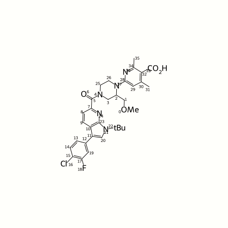 COCC1CN(C(=O)c2ccc3c(-c4ccc(Cl)c(F)c4)cn(C(C)(C)C)c3n2)CCN1c1cc(C)c(C(=O)O)c(C)n1